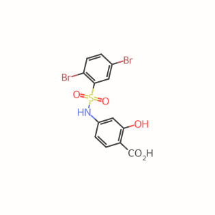 O=C(O)c1ccc(NS(=O)(=O)c2cc(Br)ccc2Br)cc1O